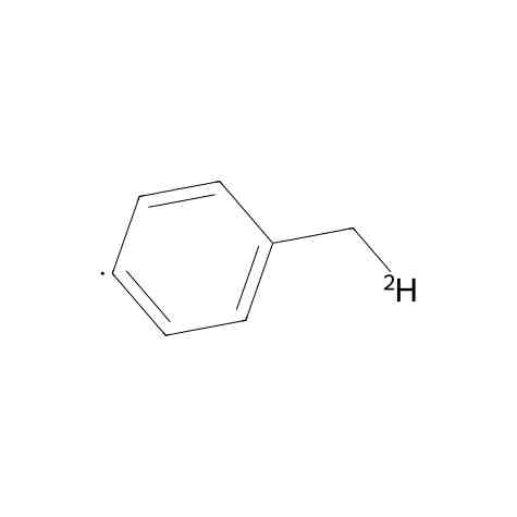 [2H]Cc1cc[c]cc1